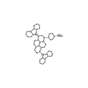 CC(C)(C)c1ccc(-c2cc(-n3c4ccccc4c4ccccc43)c3ccc4ccc(-n5c6ccccc6c6ccccc65)c5ccc2c3c45)cc1